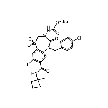 CC1(NC(=O)c2cc3c(cc2F)S(=O)(=O)C[C@H](NC(=O)OC(C)(C)C)C(=O)N3Cc2ccc(Cl)cc2)CCC1